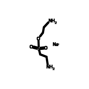 NCCOS(=O)(=O)CCN.[Na]